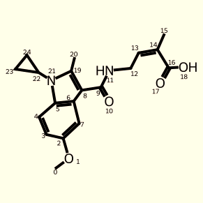 COc1ccc2c(c1)c(C(=O)NCC=C(C)C(=O)O)c(C)n2C1CC1